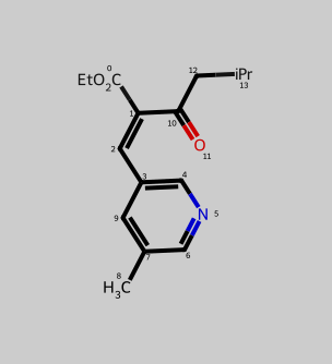 CCOC(=O)C(=Cc1cncc(C)c1)C(=O)CC(C)C